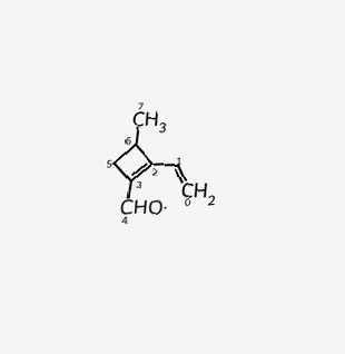 C=CC1=C([C]=O)CC1C